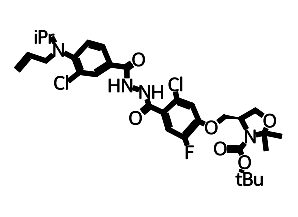 C=CCN(c1ccc(C(=O)NNC(=O)c2cc(F)c(OC[C@H]3COC(C)(C)N3C(=O)OC(C)(C)C)cc2Cl)cc1Cl)C(C)C